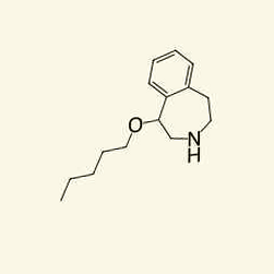 CCCCCOC1CNCCc2ccccc21